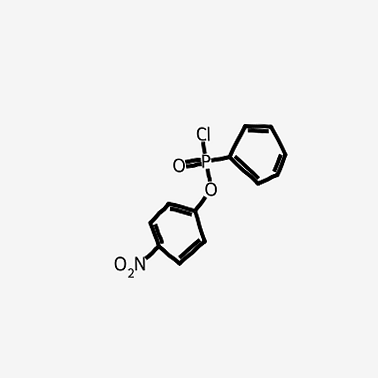 O=[N+]([O-])c1ccc(OP(=O)(Cl)c2ccccc2)cc1